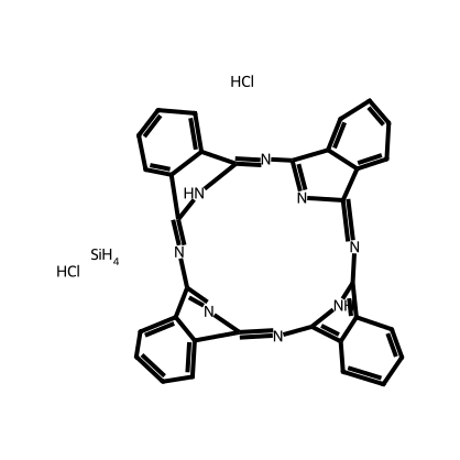 Cl.Cl.[SiH4].c1ccc2c(c1)-c1nc-2nc2[nH]c(nc3nc(nc4[nH]c(n1)c1ccccc41)-c1ccccc1-3)c1ccccc21